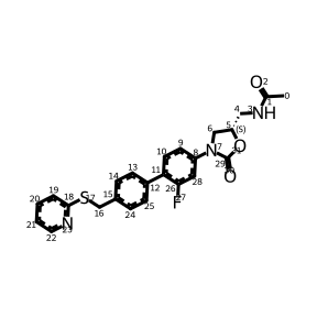 CC(=O)NC[C@H]1CN(c2ccc(-c3ccc(CSc4ccccn4)cc3)c(F)c2)C(=O)O1